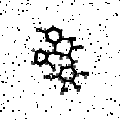 O=C1Nc2ccc(Cl)cc2C(c2ccccc2Cl)=NC1O[C@@H]1O[C@H](C(=O)O)[C@@H](O)[C@H](O)[C@H]1O